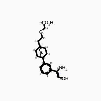 N/C(=C\O)c1cccc(C23CCC(CCOCC(=O)O)(CC2)CO3)c1